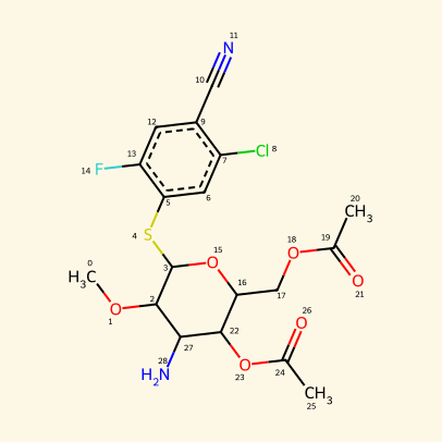 COC1C(Sc2cc(Cl)c(C#N)cc2F)OC(COC(C)=O)C(OC(C)=O)C1N